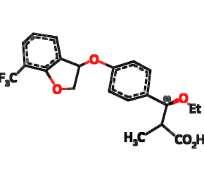 CCO[C@H](c1ccc(OC2COc3c2cccc3C(F)(F)F)cc1)C(C)C(=O)O